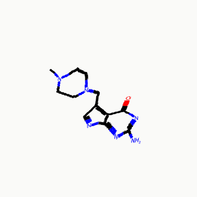 CN1CCN(CC2=C3C(=O)N=C(N)N=C3N=C2)CC1